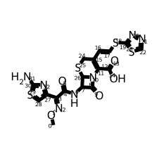 CON=C(C(=O)NC1C(=O)N2C(C(=O)O)=C(C=CSc3nncs3)CSC12)c1csc(N)n1